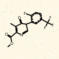 COC(=O)C1=C(C)C(=O)C(c2cc(C(F)(F)F)ccc2F)C=N1